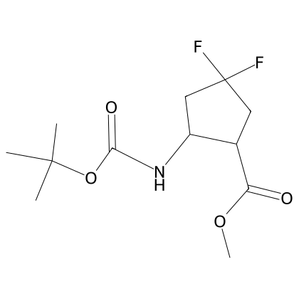 COC(=O)C1CC(F)(F)CC1NC(=O)OC(C)(C)C